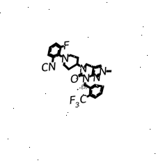 C[C@@H](c1ccccc1C(F)(F)F)N1C(=O)N(C2CCN(c3c(F)cccc3C#N)CC2)Cc2cn(C)nc21